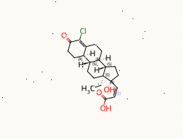 CC[C@]12CC[C@H]3[C@@H](CCC4=C(Cl)C(=O)CC[C@@H]43)[C@@H]1CC[C@@]2(O)/C=C\C(=O)O